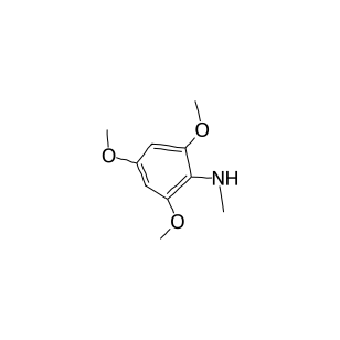 CNc1c(OC)cc(OC)cc1OC